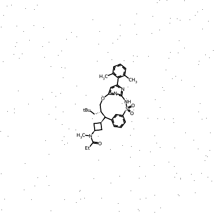 CCC(=O)N(C)[C@H]1C[C@@H](C2c3cccc(c3)S(=O)(=O)Nc3nc(cc(-c4c(C)cccc4C)n3)OC[C@H]2CC(C)(C)C)C1